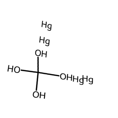 OC(O)(O)O.[Hg].[Hg].[Hg].[Hg]